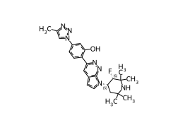 Cc1cn(-c2ccc(-c3cc4ccn([C@H]5CC(C)(C)NC(C)(C)[C@H]5F)c4nn3)c(O)c2)nn1